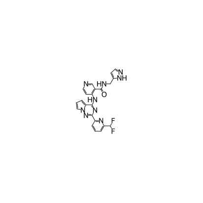 O=C(NCc1ccn[nH]1)c1cnccc1Nc1nc(-c2cccc(C(F)F)n2)nn2cccc12